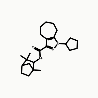 CC12CCC(C1)C(C)(C)C2NC(=O)c1nn(C2CCCC2)c2c1CCCCC2